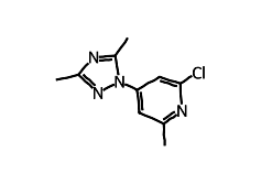 Cc1cc(-n2nc(C)nc2C)cc(Cl)n1